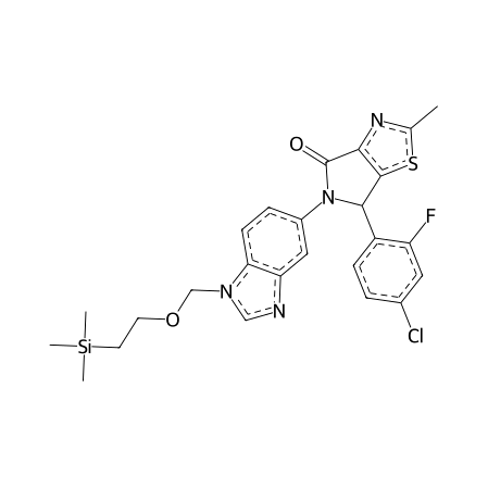 Cc1nc2c(s1)C(c1ccc(Cl)cc1F)N(c1ccc3c(c1)ncn3COCC[Si](C)(C)C)C2=O